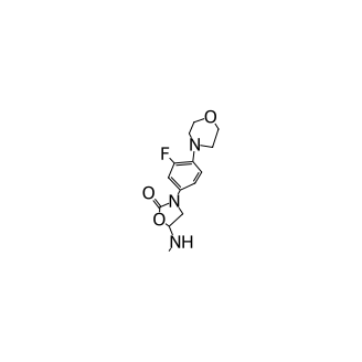 CNC1CN(c2ccc(N3CCOCC3)c(F)c2)C(=O)O1